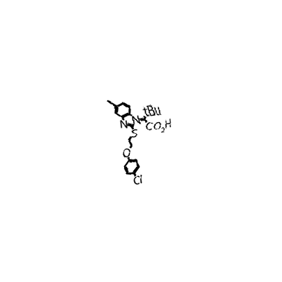 Cc1ccc2c(c1)nc(SCCOc1ccc(Cl)cc1)n2C(C(=O)O)C(C)(C)C